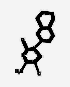 Nc1nc(=O)n(-c2ccc3ccccc3c2)cc1Cl